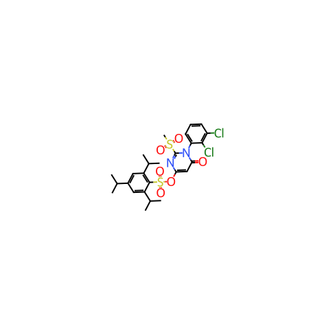 CC(C)c1cc(C(C)C)c(S(=O)(=O)Oc2cc(=O)n(-c3cccc(Cl)c3Cl)c(S(C)(=O)=O)n2)c(C(C)C)c1